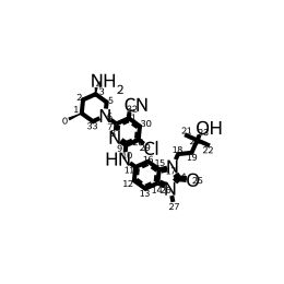 C[C@H]1C[C@@H](N)CN(c2nc(Nc3ccc4c(c3)n(CCC(C)(C)O)c(=O)n4C)c(Cl)cc2C#N)C1